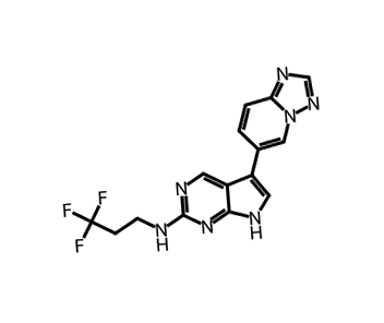 FC(F)(F)CCNc1ncc2c(-c3ccc4ncnn4c3)c[nH]c2n1